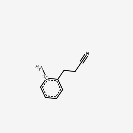 N#CCCc1cccc[13c]1N